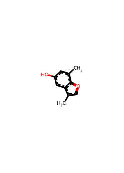 Cc1coc2c(C)cc(O)cc12